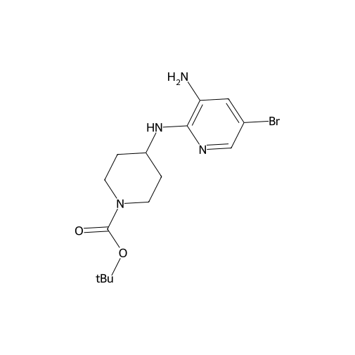 CC(C)(C)OC(=O)N1CCC(Nc2ncc(Br)cc2N)CC1